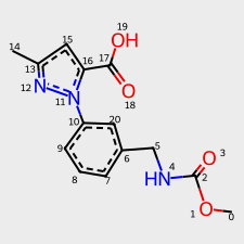 COC(=O)NCc1cccc(-n2nc(C)cc2C(=O)O)c1